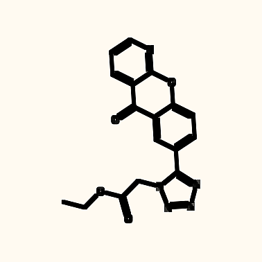 CCOC(=O)Cn1nnnc1-c1ccc2oc3ncccc3c(=O)c2c1